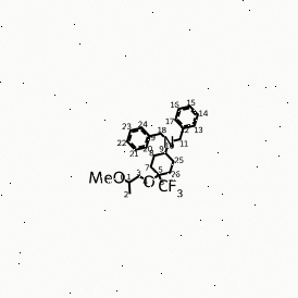 COC(C)COC1(C(F)(F)F)CCC(N(Cc2ccccc2)Cc2ccccc2)CC1